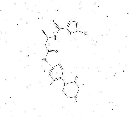 Cc1cc(NC(=O)C[C@@H](C)NC(=O)c2ccc(Cl)s2)ccc1N1CCOCC1=O